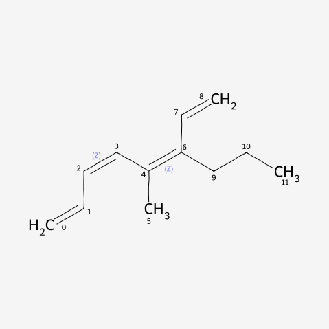 C=C/C=C\C(C)=C(/C=C)CCC